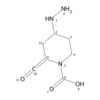 NNC1CCN(C(=O)O)C(=C=O)C1